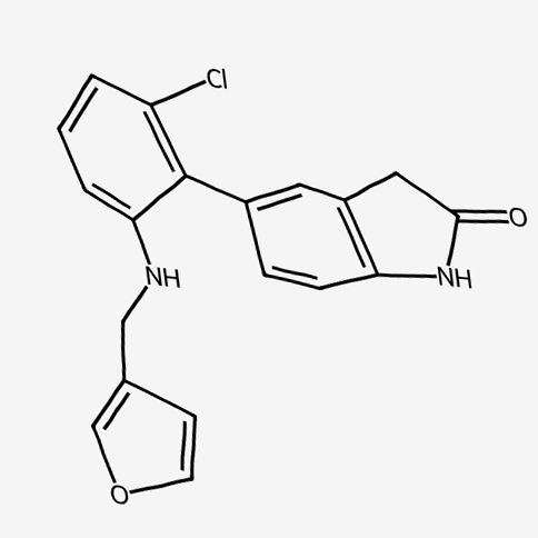 O=C1Cc2cc(-c3c(Cl)cccc3NCc3ccoc3)ccc2N1